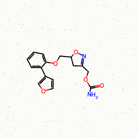 NC(=O)OCC1=NOC(COc2ccccc2-c2ccoc2)C1